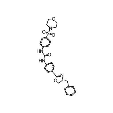 O=C(Nc1ccc(C2=N[C@H](Cc3ccccc3)CO2)cc1)Nc1ccc(S(=O)(=O)N2CCOCC2)cc1